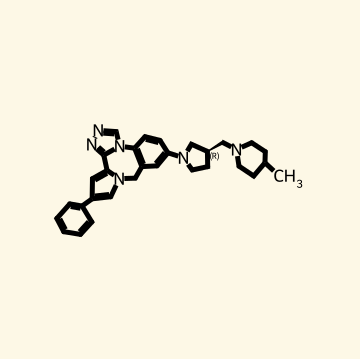 CC1CCN(C[C@H]2CCN(c3ccc4c(c3)Cn3cc(-c5ccccc5)cc3-c3nncn3-4)C2)CC1